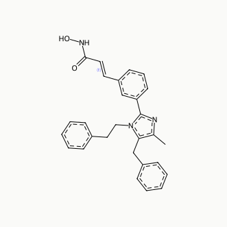 Cc1nc(-c2cccc(/C=C/C(=O)NO)c2)n(CCc2ccccc2)c1Cc1ccccc1